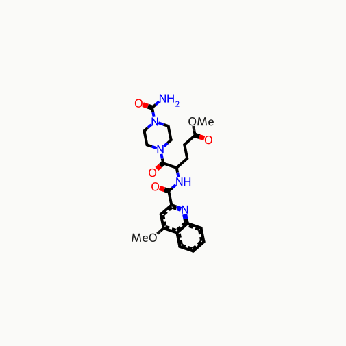 COC(=O)CCC(NC(=O)c1cc(OC)c2ccccc2n1)C(=O)N1CCN(C(N)=O)CC1